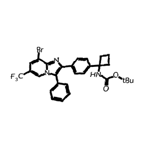 CC(C)(C)OC(=O)NC1(c2ccc(-c3nc4c(Br)cc(C(F)(F)F)cn4c3-c3ccccc3)cc2)CCC1